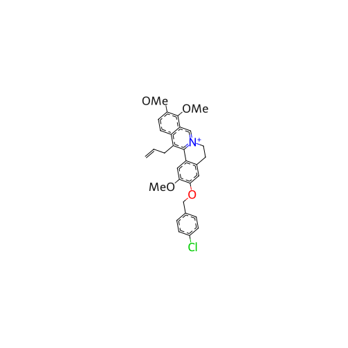 C=CCc1c2[n+](cc3c(OC)c(OC)ccc13)CCc1cc(OCc3ccc(Cl)cc3)c(OC)cc1-2